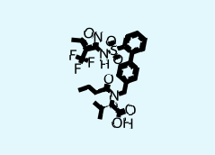 CCCC(=O)N(Cc1ccc(-c2ccccc2S(=O)(=O)Nc2noc(C)c2C(F)(F)F)cc1)[C@H](C(=O)O)C(C)C